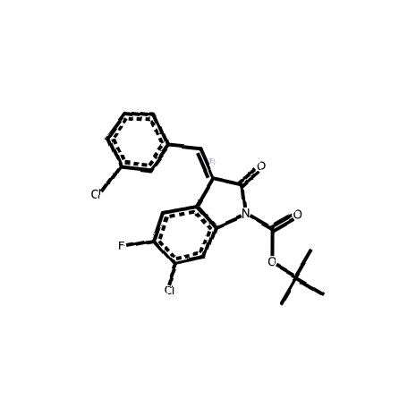 CC(C)(C)OC(=O)N1C(=O)/C(=C/c2cccc(Cl)c2)c2cc(F)c(Cl)cc21